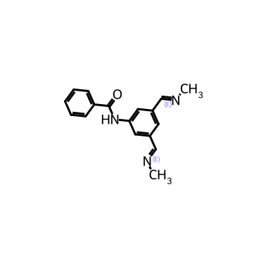 C/N=C/c1cc(/C=N/C)cc(NC(=O)c2ccccc2)c1